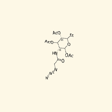 CCC1OC(OC(C)=O)[C@H](NC(=O)CN=[N+]=[N-])C(OC(C)=O)[C@@H]1OC(C)=O